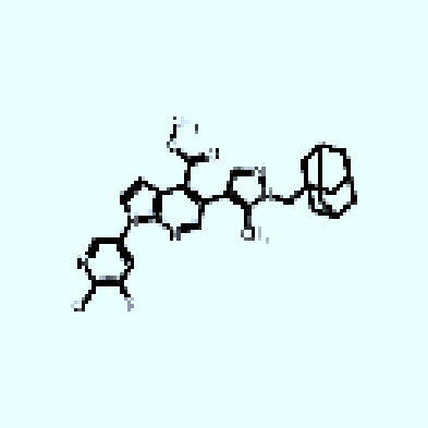 COC(=O)c1c(-c2cnn(CC34CC5CC(CC(C5)C3)C4)c2C)cnc2c1ccn2-c1cnc(Cl)c(F)c1